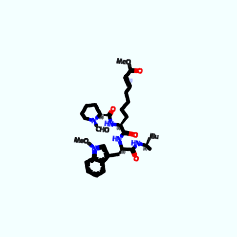 CCC(C)[C@@H](C)NC(=O)[C@H](Cc1cn(OC)c2ccccc12)NC(=O)[C@H](CCCC/C=C/C(=O)OC)NC(=O)[C@H]1CCCCN1C=O